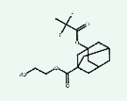 CC(F)(F)C(=O)OC12CC3CC(C1)CC(C(=O)OCCO)(C3)C2